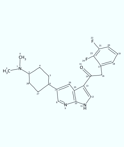 CN(C)C1CCC(c2cnc3[nH]cc(C(=O)Cc4cccc(F)c4F)c3c2)CC1